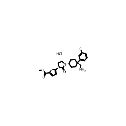 COC(=O)c1ccc(N2CCN([C@H]3CC[C@@](CN)(c4cccc(Cl)c4)CC3)C2=O)s1.Cl